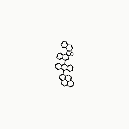 C1=Cc2ccc3ccc(-c4c5ccccc5c(-c5cc6oc7ccc8ccccc8c7c6c6ccccc56)c5ccccc45)c4c3c2C(=CC4)C1